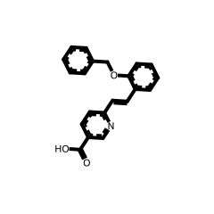 O=C(O)c1ccc(C=Cc2ccccc2OCc2ccccc2)nc1